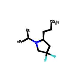 CCCC(CC)N1CC(F)(F)C[C@@H]1CCC(=O)O